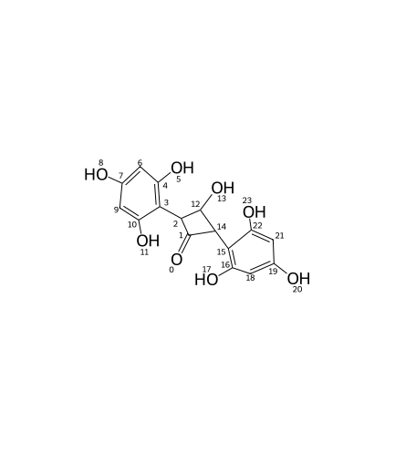 O=C1C(c2c(O)cc(O)cc2O)C(O)C1c1c(O)cc(O)cc1O